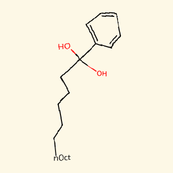 CCCCCCCCCCCCCC(O)(O)c1ccccc1